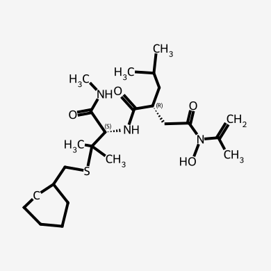 C=C(C)N(O)C(=O)C[C@@H](CC(C)C)C(=O)N[C@@H](C(=O)NC)C(C)(C)SCC1CCCCC1